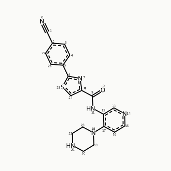 N#Cc1ccc(-c2nc(C(=O)Nc3cnccc3N3CCNCC3)cs2)cc1